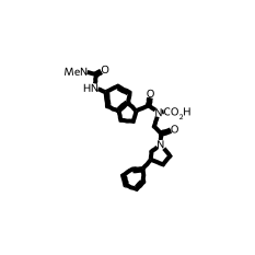 CNC(=O)Nc1ccc2c(c1)CCC2C(=O)N(CC(=O)N1CCC(c2ccccc2)C1)C(=O)O